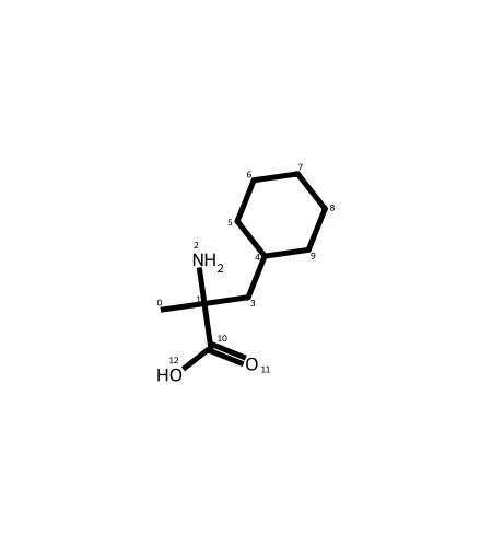 CC(N)(CC1CCCCC1)C(=O)O